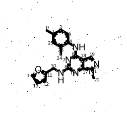 Cc1ccc(Nc2nc(NCc3ccco3)nc3c2cnn3C)c(C)c1